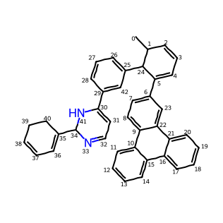 CC1C=CC=C(c2ccc3c4ccccc4c4ccccc4c3c2)C1c1cccc(C2=CC=NC(C3=CC=CCC3)N2)c1